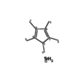 C[C]1C(C)=C(C)C(C)=C1C.[SrH2]